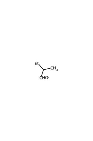 [CH2]CC(C)[C]=O